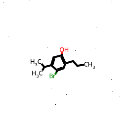 CCCc1cc(Br)c(C(C)C)cc1O